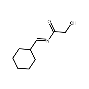 O=C(CO)N=CC1CCCCC1